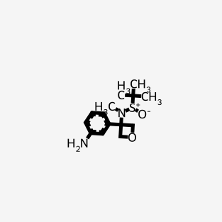 CN([S+]([O-])C(C)(C)C)C1(c2cccc(N)c2)COC1